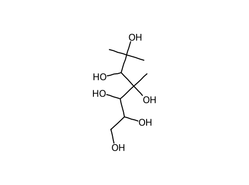 CC(C)(O)C(O)C(C)(O)C(O)C(O)CO